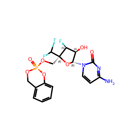 Nc1ccn([C@@H]2O[C@@](COP3(=O)OCc4ccccc4O3)(C(F)F)[C@@H](F)[C@H]2O)c(=O)n1